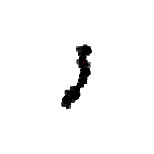 Cn1c(=O)n(C2CCC(=O)NC2=O)c2cccc(C#CCCc3cn(Cc4cccc(N5C[C@H]6C[C@@H]5CN6/C=C/C(=O)c5ccccc5O)n4)nn3)c21